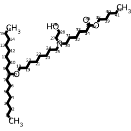 CCCCCCCCC(CCCCCCCC)OCCCCCCCCN(CCO)CCCCCC(=O)OCCCCC